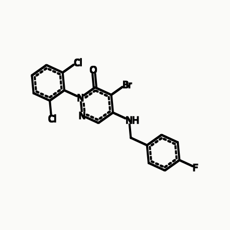 O=c1c(Br)c(NCc2ccc(F)cc2)cnn1-c1c(Cl)cccc1Cl